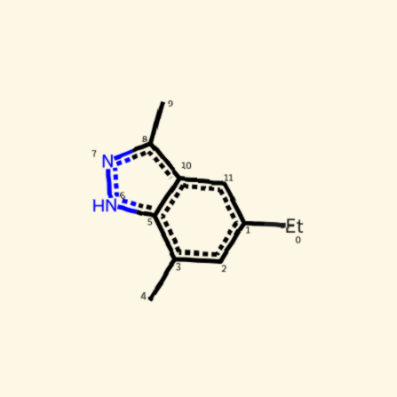 CCc1cc(C)c2[nH]nc(C)c2c1